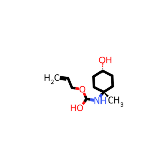 C=CCOC(O)N[C@]1(C)CC[C@H](O)CC1